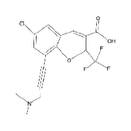 CN(C)CC#Cc1cc(Cl)cc2c1OC(C(F)(F)F)C(C(=O)O)=C2